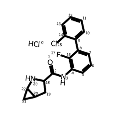 Cl.O=C(Nc1cccc(-c2ccccc2Cl)c1F)C1CC2CC2N1